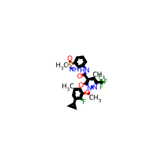 COc1c(F)c(C2CC2)cc(C)c1Oc1nnc(C(F)(F)F)c(C)c1C(=O)Nc1cccc(S(C)(=N)=O)c1